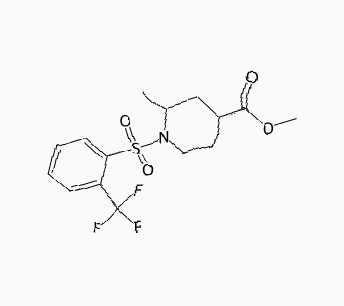 COC(=O)C1CCN(S(=O)(=O)c2ccccc2C(F)(F)F)C(C)C1